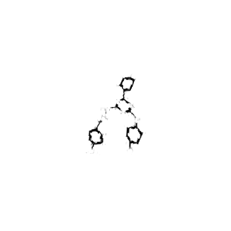 Cc1ccc(C=NNc2nc(Nc3ccc(Cl)cc3)nc(-c3ccccc3)n2)cc1